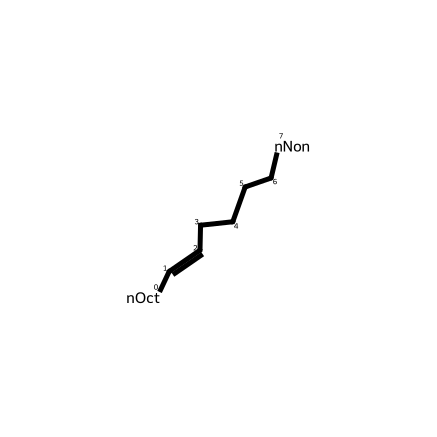 [CH2]CCCCCCCC=CCCCCCCCCCCCC[CH2]